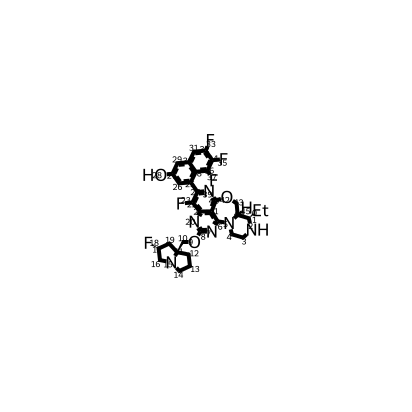 CC[C@@H]1NCCN2c3nc(OC[C@@]45CCCN4C[C@H](F)C5)nc4c(F)c(-c5cc(O)cc6cc(F)c(F)c(F)c56)nc(c34)OC[C@H]12